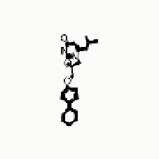 CC(C)Cc1cc(=O)nc2n1C[C@@H](COc1ccc(C3CCCCC3)cc1)O2